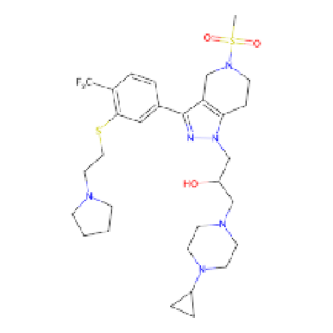 CS(=O)(=O)N1CCc2c(c(-c3ccc(C(F)(F)F)c(SCCN4CCCC4)c3)nn2CC(O)CN2CCN(C3CC3)CC2)C1